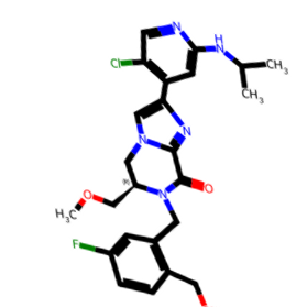 COC[C@H]1Cn2cc(-c3cc(NC(C)C)ncc3Cl)nc2C(=O)N1Cc1cc(F)ccc1CO